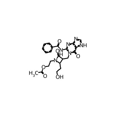 CC(=O)OCCN1C(=O)C(Cn2c(NC(=O)c3ccccc3)nc3nc[nH]c3c2=O)C1CCO